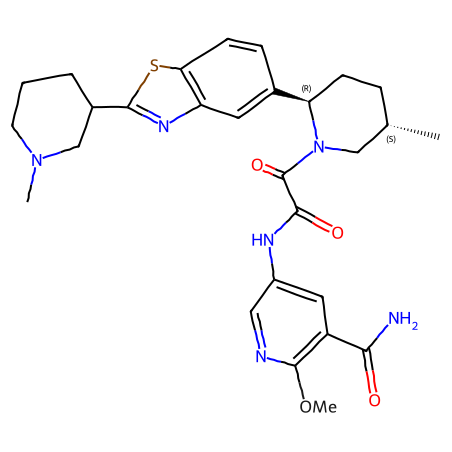 COc1ncc(NC(=O)C(=O)N2C[C@@H](C)CC[C@@H]2c2ccc3sc(C4CCCN(C)C4)nc3c2)cc1C(N)=O